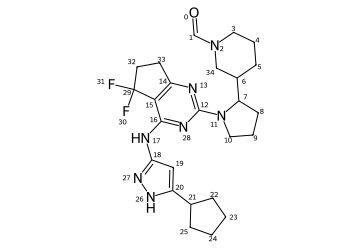 O=CN1CCCC(C2CCCN2c2nc3c(c(Nc4cc(C5CCCC5)[nH]n4)n2)C(F)(F)CC3)C1